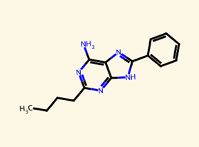 CCCCc1nc(N)c2nc(-c3ccccc3)[nH]c2n1